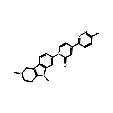 Cc1ccc(-c2ccn(-c3ccc4c5c(n(C)c4c3)CCN(C)C5)c(=O)c2)nn1